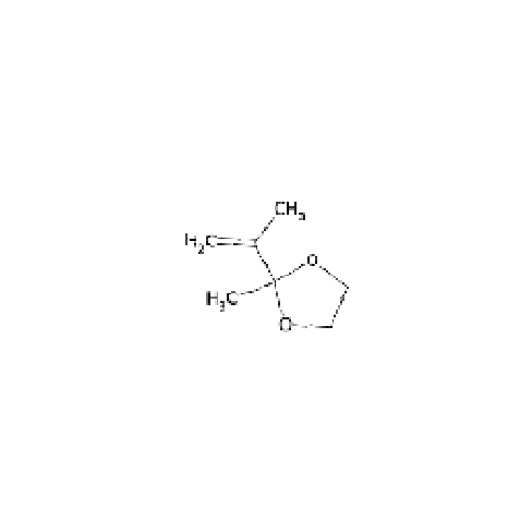 C=C(C)C1(C)OCCO1